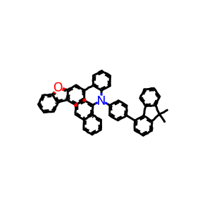 CC1(C)c2ccccc2-c2c(-c3ccc(N(c4ccccc4-c4ccc5c(c4)oc4ccccc45)c4cccc5ccccc45)cc3)cccc21